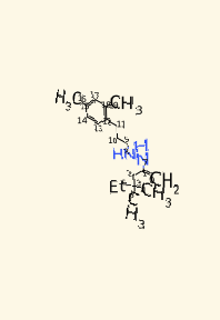 C=C(CC(C)(C)CC)NNCCCc1ccc(C)cc1C